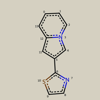 c1ccn2cc(-c3nccs3)cc2c1